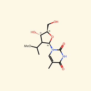 COC(C)C1[C@H](n2cc(C)c(=O)[nH]c2=O)O[C@H](CO)[C@H]1O